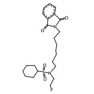 O=C1c2ccccc2C(=O)N1CCCCCCCN(CCF)S(=O)(=O)C1CCCCC1